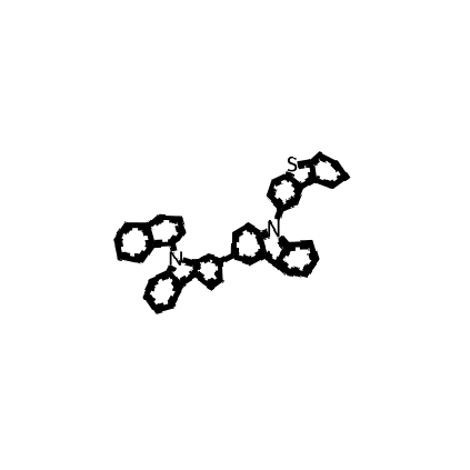 c1ccc2c(-n3c4ccccc4c4ccc(-c5ccc6c(c5)c5ccccc5n6-c5ccc6sc7ccccc7c6c5)cc43)cccc2c1